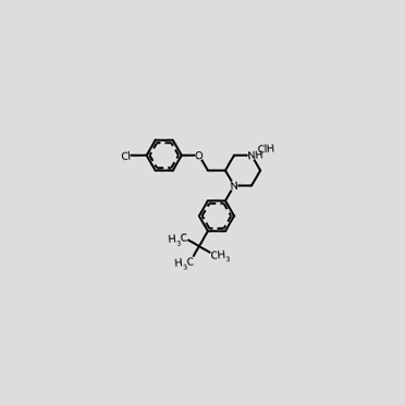 CC(C)(C)c1ccc(N2CCNCC2COc2ccc(Cl)cc2)cc1.Cl